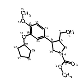 COC(=O)N1CC(CO)C(c2ccc(OC)c(OC3CCCC3)c2)C1